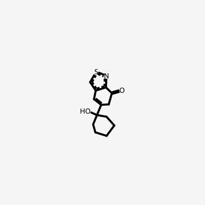 O=C1CC(C2(O)CCCCC2)=Cc2csnc21